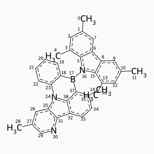 Cc1cc(C)c2c(c1)c1cc(C)cc(C)c1n2B1c2ccccc2-n2c3cc(C)cnc3c3ccc(C)c1c32